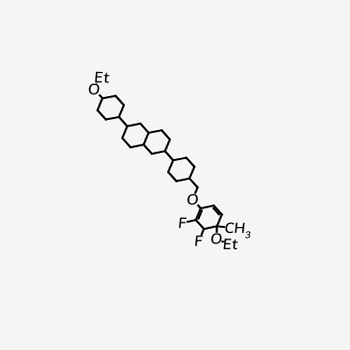 CCOC1CCC(C2CCC3CC(C4CCC(COC5=C(F)C(F)C(C)(OCC)C=C5)CC4)CCC3C2)CC1